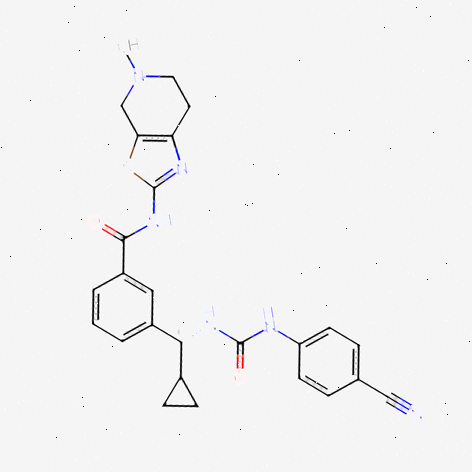 CN1CCc2nc(NC(=O)c3cccc([C@H](NC(=O)Nc4ccc(C#N)cc4)C4CC4)c3)sc2C1